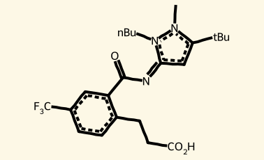 CCCCn1c(=NC(=O)c2cc(C(F)(F)F)ccc2CCC(=O)O)cc(C(C)(C)C)n1C